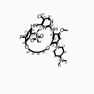 COc1cc(N2CCC(N(C)C)CC2)c2cc1Nc1ncc(Cl)c(n1)Nc1cc(F)c(cc1N(C)S(C)(=O)=O)OCCCCO2